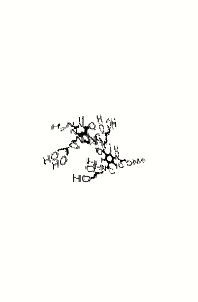 COCC(=O)Nc1c(I)c(C(=O)NCC(O)CO)c(I)c(C(=O)N(C)CC(O)CO)c1I.Nc1nc2c(ncn2COC(CO)CO)c(=O)[nH]1